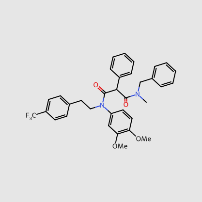 COc1ccc(N(CCc2ccc(C(F)(F)F)cc2)C(=O)C(C(=O)N(C)Cc2ccccc2)c2ccccc2)cc1OC